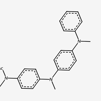 CC(=O)N(C)c1ccc(N(C)c2ccc(N(C)c3ccccc3)cc2)cc1